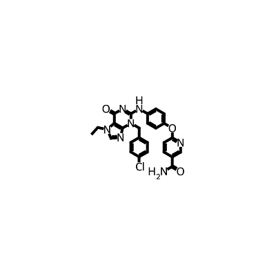 CCn1cnc2c1c(=O)nc(Nc1ccc(Oc3ccc(C(N)=O)cn3)cc1)n2Cc1ccc(Cl)cc1